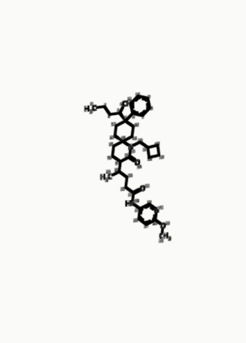 CCCC(C)[C@]1(c2ccccc2)CC[C@@]2(CCC(C(C)CCC(=O)Nc3ccc(OC)nc3)C(=O)N2CC2CCC2)CC1